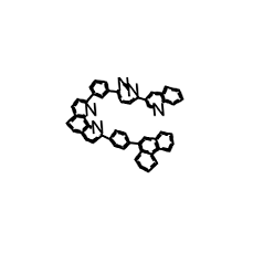 c1cc(-c2ccc(-c3cnc4ccccc4c3)nn2)cc(-c2ccc3ccc4ccc(-c5ccc(-c6cc7ccccc7c7ccccc67)cc5)nc4c3n2)c1